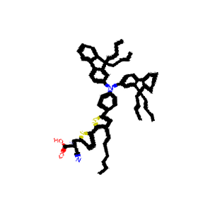 CCCCCCc1cc(-c2ccc(N(c3ccc4c(c3)C(CCCC)(CCCC)c3ccccc3-4)c3ccc4c(c3)C(CCCC)(CCCC)c3ccccc3-4)cc2)sc1-c1ccc(/C=C(\C#N)C(=O)O)s1